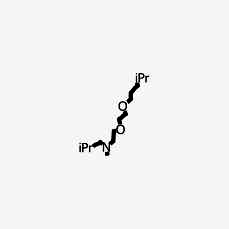 CC(C)CCCOCCOCCN(C)CC(C)C